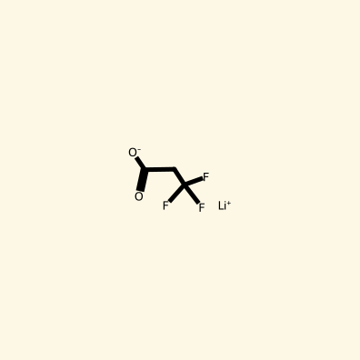 O=C([O-])CC(F)(F)F.[Li+]